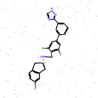 Fc1ccc2c(c1)C[C@@H](NCc1c(F)cc(-c3cccc(-c4nc[nH]n4)c3)cc1F)C2